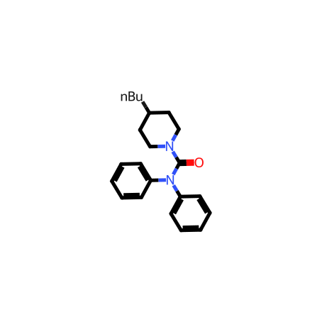 CCCCC1CCN(C(=O)N(c2ccccc2)c2ccccc2)CC1